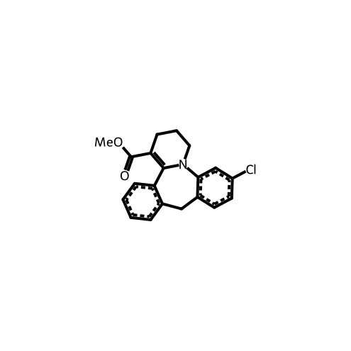 COC(=O)C1=C2c3ccccc3Cc3ccc(Cl)cc3N2CCC1